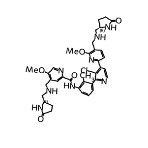 COc1cnc(C(=O)Nc2cccc(-c3nccc(-c4ccc(CNC[C@H]5CCC(=O)N5)c(OC)n4)c3Cl)c2C)cc1CNC[C@H]1CCC(=O)N1